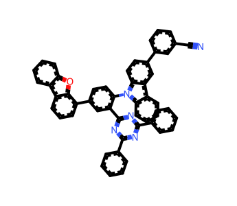 N#Cc1cccc(-c2ccc3c(c2)c2ccccc2n3-c2ccc(-c3cccc4c3oc3ccccc34)cc2-c2nc(-c3ccccc3)nc(-c3ccccc3)n2)c1